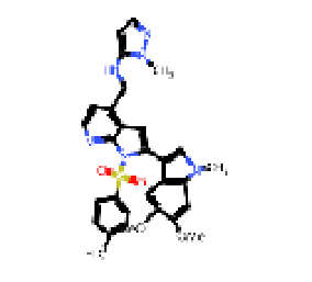 COc1cc2c(-c3cc4c(CNc5ccnn5C)ccnc4n3S(=O)(=O)c3ccc(C)cc3)cn(C)c2cc1OC